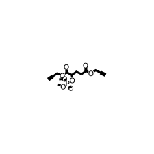 C#CCOC(=O)CCC(OP(=O)(OC)OC)C(=O)OCC#C